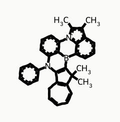 Cc1c(C)n2c3c(cccc13)B1C3=C(C4=C(C=CC=CC4)C3(C)C)N(c3ccccc3)c3cccc-2c31